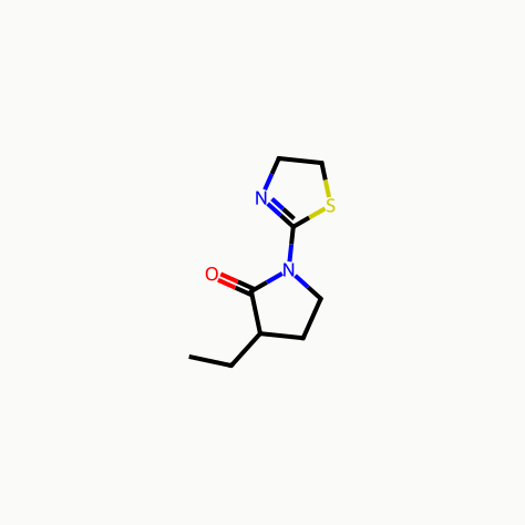 CCC1CCN(C2=NCCS2)C1=O